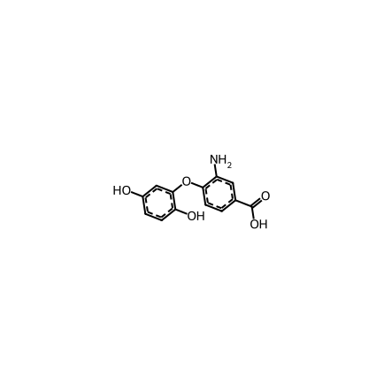 Nc1cc(C(=O)O)ccc1Oc1cc(O)ccc1O